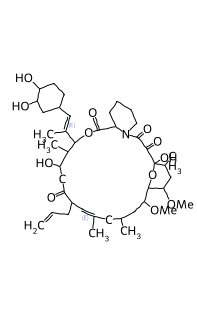 C=CCC1/C=C(\C)CC(C)CC(OC)C2OC(O)(C(=O)C(=O)N3CCCCC3C(=O)OC(/C(C)=C/C3CCC(O)C(O)C3)C(C)C(O)CC1=O)C(C)CC2OC